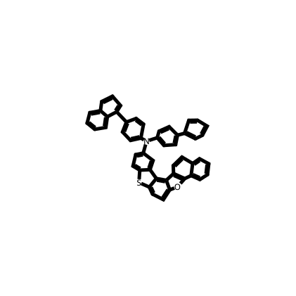 c1ccc(-c2ccc(N(c3ccc(-c4cccc5ccccc45)cc3)c3ccc4sc5ccc6oc7c8ccccc8ccc7c6c5c4c3)cc2)cc1